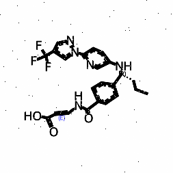 CCC[C@@H](Nc1ccc(-n2cc(C(F)(F)F)cn2)nc1)c1ccc(C(=O)N/C=C/C(=O)O)cc1